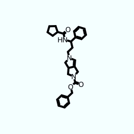 O=C(NC(CCN1C=C2CN(C(=O)OCc3ccccc3)CC2C1)c1ccccc1)C1CCCC1